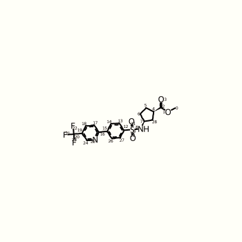 COC(=O)[C@@H]1CC[C@H](NS(=O)(=O)c2ccc(-c3ccc(C(F)(F)F)cn3)cc2)C1